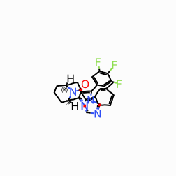 Cc1ccc2ncnc(C(=O)N3[C@@H]4CCC[C@H]3c3nn(C)c(-c5cc(F)c(F)c(F)c5)c3C4)c2c1